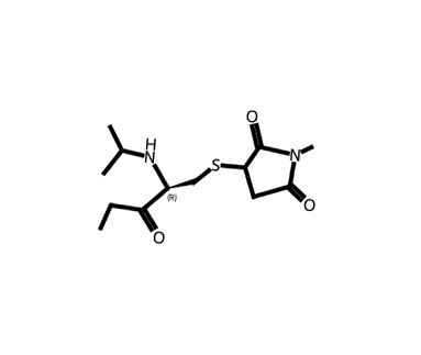 CCC(=O)[C@H](CSC1CC(=O)N(C)C1=O)NC(C)C